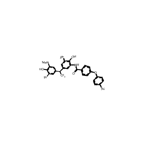 CNc1cc(C(c2cc(NC(=O)c3ccc(Oc4ccc(C(C)=O)cc4)cc3)c(O)c(C(C)C)c2)C(F)(F)F)cc(C(C)C)c1O